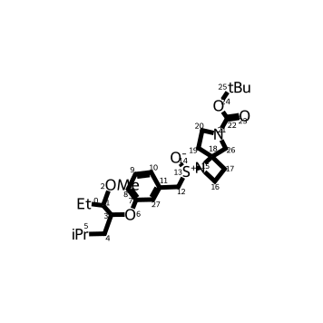 CCC(OC)C(CC(C)C)Oc1cccc(C[S+]([O-])N2CCC23CCN(C(=O)OC(C)(C)C)C3)c1